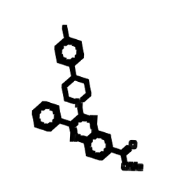 COC(=O)c1ccc2nc(-c3ccccc3)c(N3CCC(c4ccc(C)cc4)CC3)nc2c1